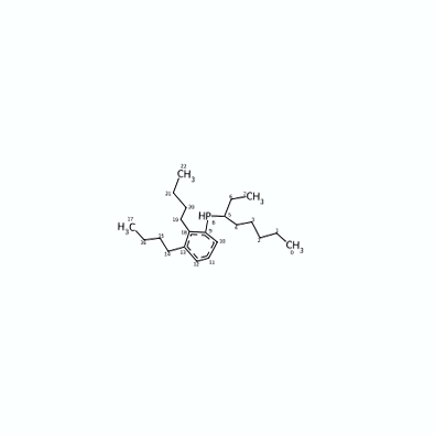 CCCCCC(CC)Pc1cccc(CCCC)c1CCCC